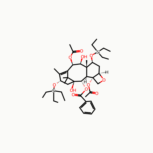 CC[Si](CC)(CC)O[C@H]1C[C@@]2(O)[C@@H](OC(=O)c3ccccc3)[C@@H]3[C@]4(OC(C)=O)CO[C@@H]4C[C@H](O[Si](CC)(CC)CC)[C@@]3(C)[C@H](O)[C@H](OC(C)=O)C(=C1C)C2(C)C